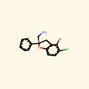 NC[C@@]1(c2ccccc2)Cc2c(ccc(Cl)c2Br)O1